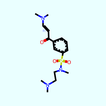 CN(C)/C=C/C(=O)c1cccc(S(=O)(=O)N(C)CCN(C)C)c1